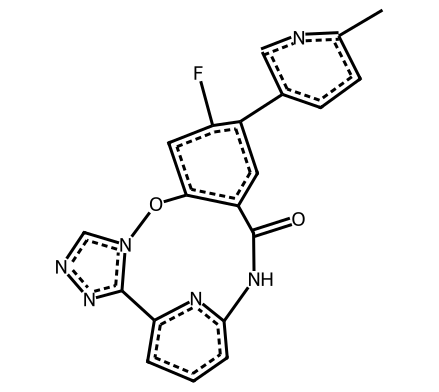 Cc1ccc(-c2cc3c(cc2F)On2cnnc2-c2cccc(n2)NC3=O)cn1